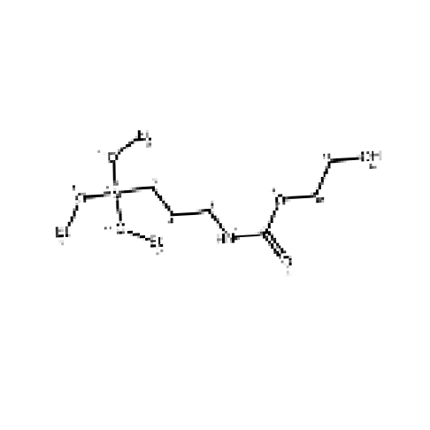 CCO[Si](CCCNC(=O)OCCO)(OCC)OCC